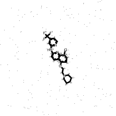 FC(F)(F)c1ccnc(Nc2ccc3c(OCCN4CCCCC4)ccc(Cl)c3n2)c1